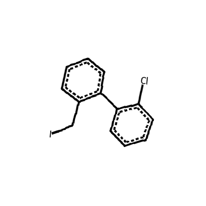 Clc1ccccc1-c1ccccc1CI